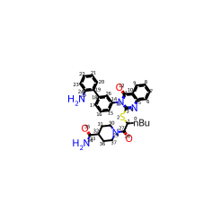 CCCCC(Sc1nc2ccccc2c(=O)n1-c1cccc(-c2ccccc2N)c1)C(=O)N1CCC(C(N)=O)CC1